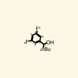 CCCCC(O)c1cc(F)cc(F)c1